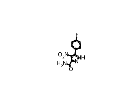 NC(=O)c1n[nH]c(-c2ccc(F)cc2)c1[N+](=O)[O-]